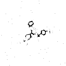 CCOC(=O)N1CCc2c(sc(NC(=O)c3ccc(OC)cc3)c2-c2nc3ccccc3s2)C1